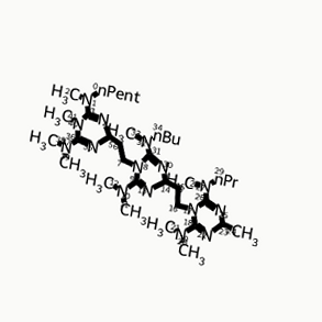 CCCCCN(C)C1=NC(CCN2C(N(C)C)=NC(CCN3C(N(C)C)=NC(C)N=C3N(C)CCC)N=C2N(C)CCCC)N=C(N(C)C)N1C